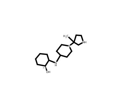 CC1(N2CCC(NC3CCCC[C@@H]3O)CC2)CCNC1